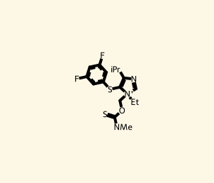 CC[N+]1(COC(=S)NC)C=NC(C(C)C)=C1Sc1cc(F)cc(F)c1